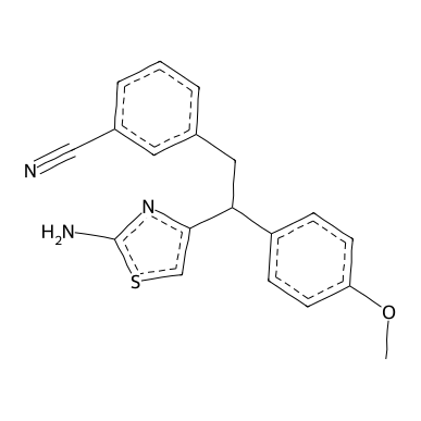 COc1ccc(C(Cc2cccc(C#N)c2)c2csc(N)n2)cc1